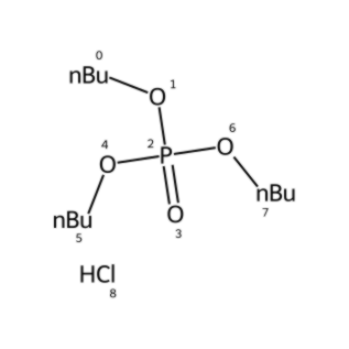 CCCCOP(=O)(OCCCC)OCCCC.Cl